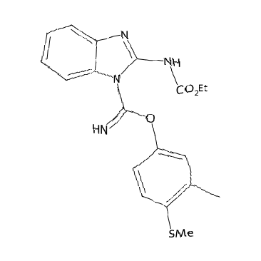 CCOC(=O)Nc1nc2ccccc2n1C(=N)Oc1ccc(SC)c(C)c1